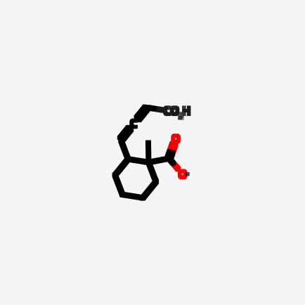 CC1(C([O])=O)CCCCC1C=C=CC(=O)O